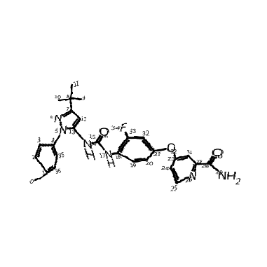 Cc1ccc(-n2nc(C(C)(C)C)cc2NC(=O)Nc2ccc(Oc3ccnc(C(N)=O)c3)cc2F)cc1